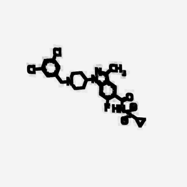 Cc1nn(C2CCN(Cc3cc(Cl)cc(Cl)c3)CC2)c2cc(F)c(C(=O)NS(=O)(=O)C3CC3)cc12